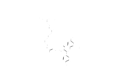 C/C(=C\CSCc1c(-c2ccc(O)c(O)c2)oc2c(O)cc(O)cc2c1=O)CCC[C@H](C)CCC[C@H](C)CCCC(C)C